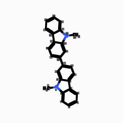 Cn1c2ccccc2c2ccc(-c3ccc4c5ccccc5n(C)c4c3)cc21